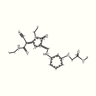 CCNC(=O)C(C#N)=c1sc(=CNc2cccc(OCC(=O)OC)c2)c(=O)n1CC